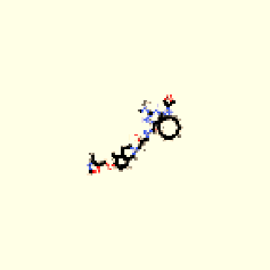 CCN(C)C1NC(NC2COC2)C2(CCCCCCCCC2)C(C(=O)NC[C@H](O)CN2CCc3c(ccc(OCc4ocnc4C)c3C)C2)N1